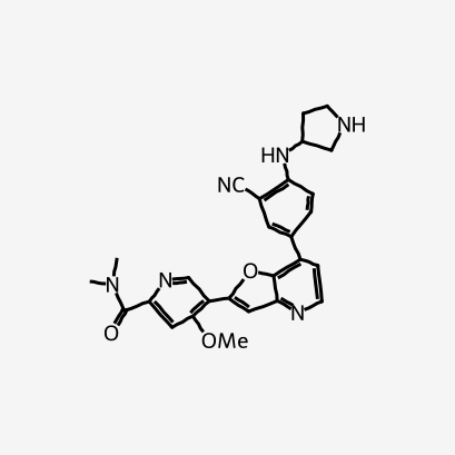 COc1cc(C(=O)N(C)C)ncc1-c1cc2nccc(-c3ccc(NC4CCNC4)c(C#N)c3)c2o1